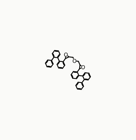 c1ccc(-c2ccccc2-c2ccccc2C2OC2COCC2OC2c2ccccc2-c2ccccc2-c2ccccc2)cc1